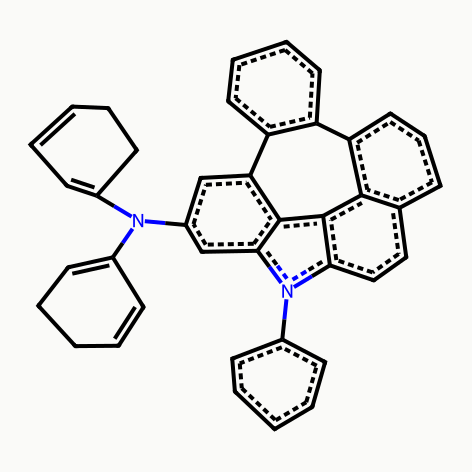 C1=CCCC(N(C2=CCCC=C2)c2cc3c4c5c6c(cccc6ccc5n(-c5ccccc5)c4c2)-c2ccccc2-3)=C1